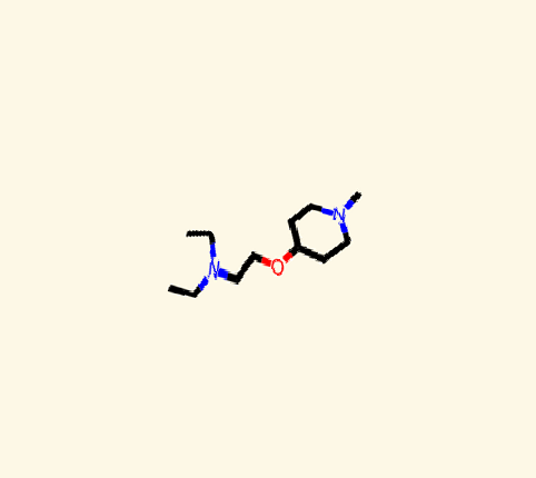 CCN(CC)CCOC1CCN(C)CC1